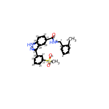 Cc1ccccc1CNC(=O)c1ccc2[nH]nc(-c3cccc(S(C)(=O)=O)c3)c2c1